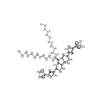 CCCCCCCCCCCCC(CCCCCCCCCCCC)=C1c2cc(-c3ccc(C4OCCO4)s3)ccc2-c2ccc(-c3ccc(C4OCCO4)s3)cc21